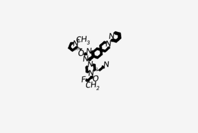 C=C(F)C(=O)N1CCN(c2nc(OC[C@@H]3CCCN3C)nc3c2CCC2(CCN(c4ccccn4)CC2)C3)C[C@@H]1CC#N